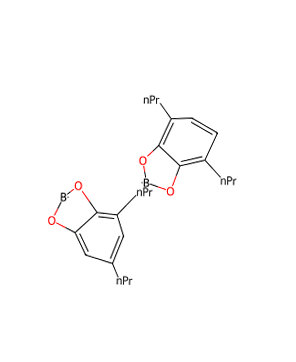 CCCc1cc(CCC)c2c(c1)O[B]O2.CCCc1ccc(CCC)c2c1O[B]O2